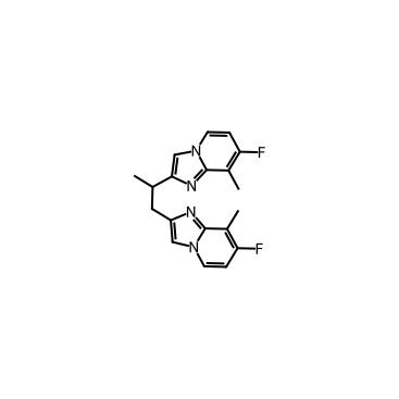 Cc1c(F)ccn2cc(CC(C)c3cn4ccc(F)c(C)c4n3)nc12